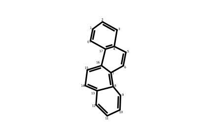 [c]1cccc2ccc3c4ccccc4ccc3c12